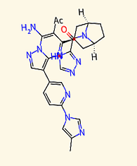 CC(=O)c1c([C@H]2C[C@H]3CC[C@@H](C2)N3C(=O)c2nnc[nH]2)nc2c(-c3ccc(-n4cnc(C)c4)nc3)cnn2c1N